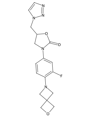 O=C1OC(Cn2ccnn2)CN1c1ccc(N2CC3(COC3)C2)c(F)c1